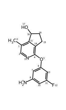 Cc1cnc(Oc2cc(N)cc(F)c2)c2c1C(O)CC2